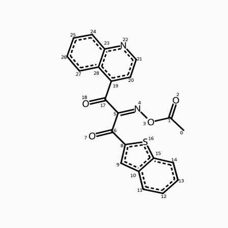 CC(=O)ON=C(C(=O)c1cc2ccccc2s1)C(=O)c1ccnc2ccccc12